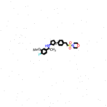 COc1cc([C@@H](C)NC2CC[C@@H](c3ccc(CCS(=O)(=O)N4CCOCC4)cc3)C2)ccc1F